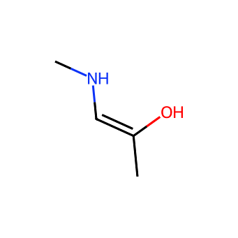 CNC=C(C)O